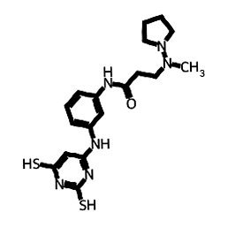 CN(CCC(=O)Nc1cccc(Nc2cc(S)nc(S)n2)c1)N1CCCC1